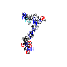 CC(=O)N1CCc2c(c(N3CCCc4cc(-c5cnn(C)c5)c(C(F)F)cc43)nn2C2CCN(CCN3CCN(Cc4cccc5c4C(=O)N(C4CCC(=O)NC4=O)C5=O)CC3)CC2)C1